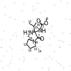 COC(=O)NC(N)(C(=O)N1CCC[C@H]1C)C(C)C